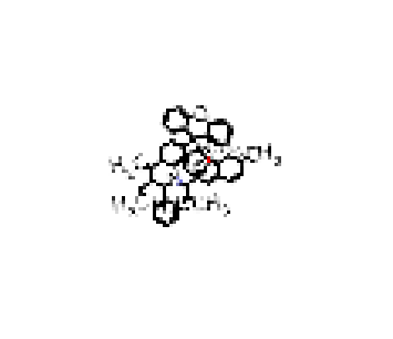 C=C(C)/C(=N\C(c1ccccc1)C(CC)C(=C)C1C=CC(C2(C3(C)C=CC=CC3)c3ccccc3Oc3ccccc32)=CC1)C1C=C2C=CC(C)CC2=CC1